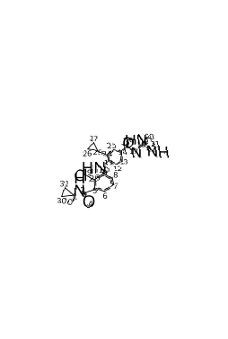 CC1(NC(=O)c2cccc(Nc3ccc(C(=O)N=C4NCCN4)cc3C3CC3)c2Cl)CC1